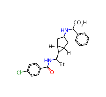 CCC(NC(=O)c1ccc(Cl)cc1)[C@H]1[C@@H]2C[C@@H](NC(C(=O)O)c3ccccc3)C[C@@H]21